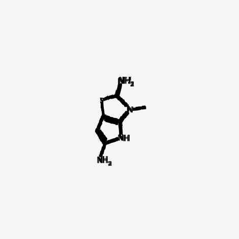 CN1c2[nH]c(N)cc2SC1N